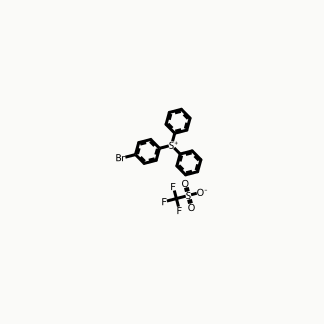 Brc1ccc([S+](c2ccccc2)c2ccccc2)cc1.O=S(=O)([O-])C(F)(F)F